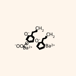 C=CCc1ccccc1[O-].C=CCc1ccccc1[O-].O=C([O-])[O-].[Ba+2].[Ba+2]